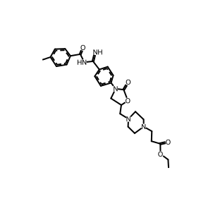 CCOC(=O)CCN1CCN(CC2CN(c3ccc(C(=N)NC(=O)c4ccc(C)cc4)cc3)C(=O)O2)CC1